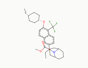 CCC(c1ccc2c(C(F)(F)F)c(O[C@H]3CC[C@@H](CC)CC3)ccc2c1)N1C2CCCC1CC(C(=O)OC)C2